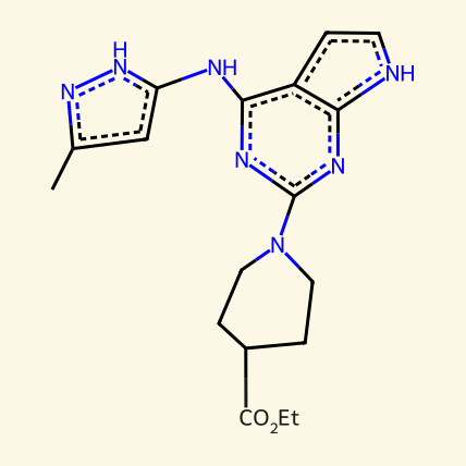 CCOC(=O)C1CCN(c2nc(Nc3cc(C)n[nH]3)c3cc[nH]c3n2)CC1